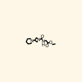 CCOC(=O)CNC(=O)N1CC(N2CCCCC2)C1